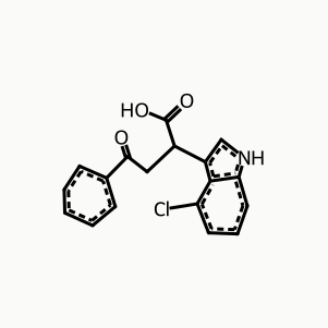 O=C(CC(C(=O)O)c1c[nH]c2cccc(Cl)c12)c1ccccc1